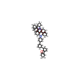 C1=Cc2c(c3ccccc3n2-c2ccccc2-c2ccccc2N(c2ccc(-c3cccc(-c4cccc5c4oc4ccccc45)c3)cc2)c2ccccc2-c2ccc(-c3ccccc3)cc2)CC1